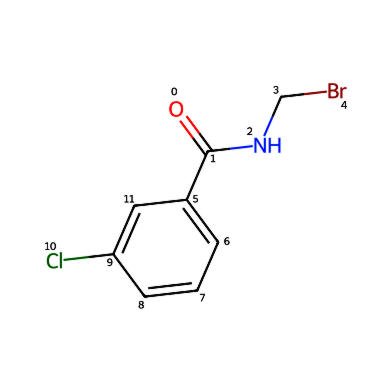 O=C(NCBr)c1cccc(Cl)c1